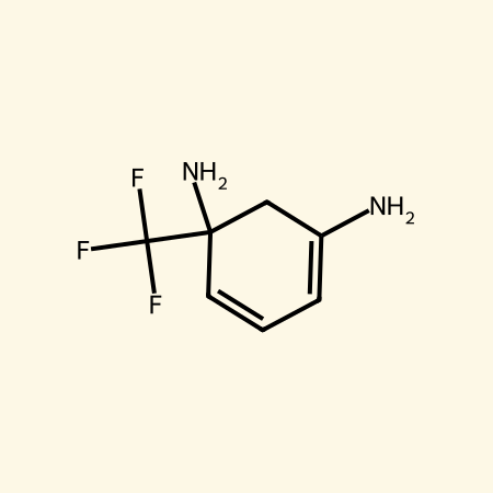 NC1=CC=CC(N)(C(F)(F)F)C1